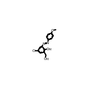 COc1ccc(/N=N/c2cc(Cl)cc(CO)c2O)cc1